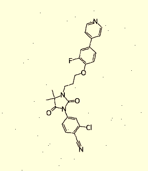 CC1(C)C(=O)N(c2ccc(C#N)c(Cl)c2)C(=O)N1CCCOc1ccc(-c2ccncc2)cc1F